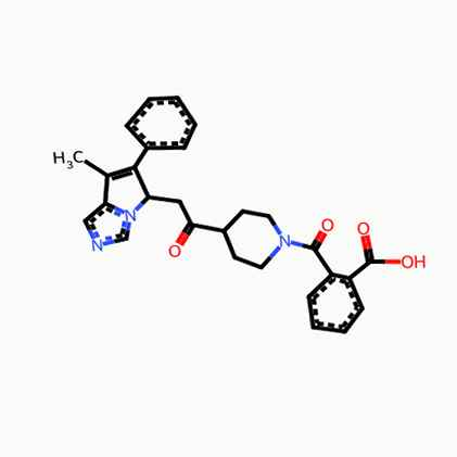 CC1=C(c2ccccc2)C(CC(=O)C2CCN(C(=O)c3ccccc3C(=O)O)CC2)n2cncc21